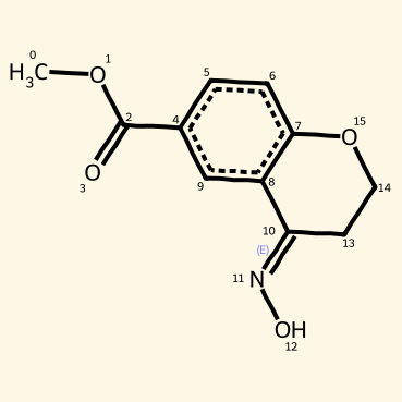 COC(=O)c1ccc2c(c1)/C(=N/O)CCO2